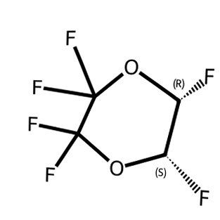 F[C@@H]1OC(F)(F)C(F)(F)O[C@@H]1F